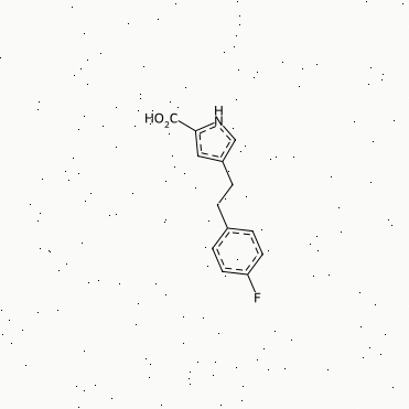 O=C(O)c1cc(CCc2ccc(F)cc2)c[nH]1